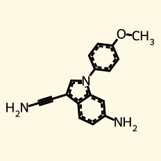 COc1ccc(-n2cc(C#CN)c3ccc(N)cc32)cc1